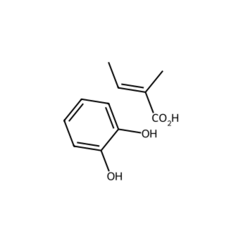 CC=C(C)C(=O)O.Oc1ccccc1O